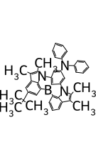 Cc1c(C)n2c3c(cccc13)B1c3c-2cc(N(c2ccccc2)c2ccccc2)cc3-n2c(C)c(C)c3cc(C(C)(C)C)cc1c32